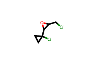 ClCC1OC1C1(Cl)CC1